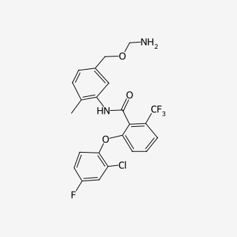 Cc1ccc(COCN)cc1NC(=O)c1c(Oc2ccc(F)cc2Cl)cccc1C(F)(F)F